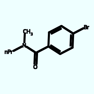 CCCN(C)C(=O)c1ccc(Br)cc1